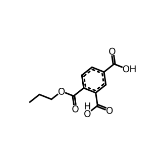 CCCOC(=O)c1ccc(C(=O)O)cc1C(=O)O